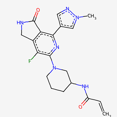 C=CC(=O)NC1CCCN(c2nc(-c3cnn(C)c3)c3c(c2F)CNC3=O)C1